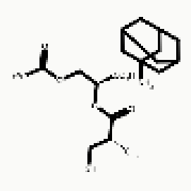 C[C@H](CS)C(=O)O[C@@H](COC(=O)C(C)(C)C)C(=O)O.NC12CC3CC(CC(C3)C1)C2